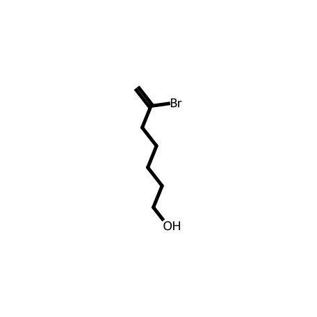 C=C(Br)CCCCCO